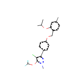 CCc1ccc(COc2ccc(-c3nn(C)c(OC(F)F)c3Cl)cc2)c(OC(C)C(=O)O)c1